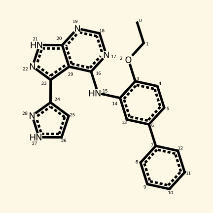 CCOc1ccc(-c2ccccc2)cc1Nc1ncnc2[nH]nc(-c3cc[nH]n3)c12